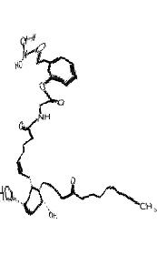 CCCCCCCC(=O)CC[C@@H]1[C@@H](C/C=C\CCCC(=O)NCC(=O)Oc2ccccc2CON(O)O)[C@@H](O)C[C@H]1O